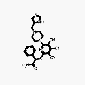 CCc1c(C#N)c(SC(C(N)=O)c2ccccc2)nc(N2CCN(Cc3cnc[nH]3)CC2)c1C#N